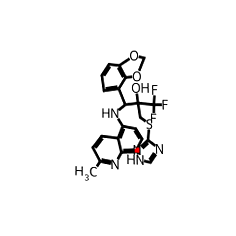 Cc1ccc2c(NC(c3cccc4c3OCO4)C(O)(CSc3nc[nH]n3)C(F)(F)F)cccc2n1